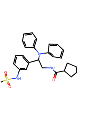 CS(=O)(=O)Nc1cccc(C(CNC(=O)C2CCCC2)N(c2ccccc2)c2ccccc2)c1